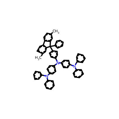 Cc1ccc2c(c1)C(c1ccccc1)(c1ccc(N(c3ccc(N(c4ccccc4)c4ccccc4)cc3)c3ccc(N(c4ccccc4)c4ccccc4)cc3)cc1)c1cc(C)ccc1-2